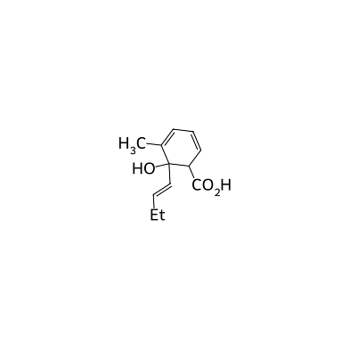 CCC=CC1(O)C(C)=CC=CC1C(=O)O